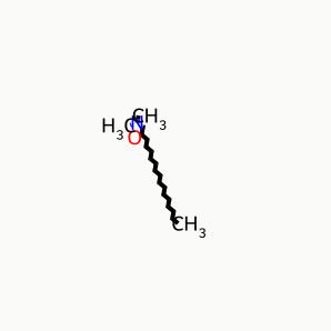 CCCCCCCCCCCCCCCC(=O)CN(C)C